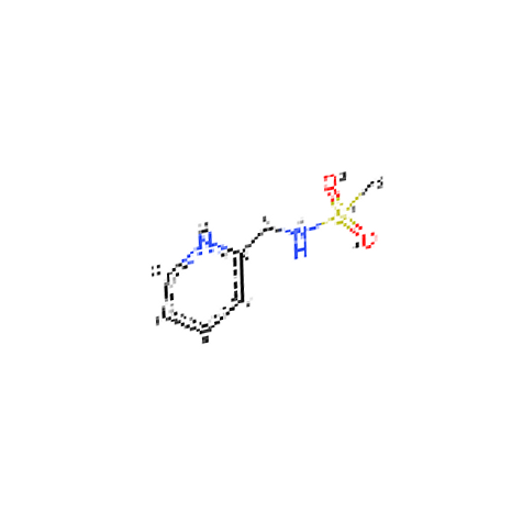 [CH2]S(=O)(=O)NCc1ccccn1